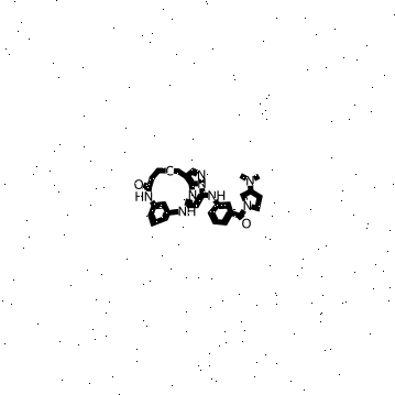 CN(C)C1CCN(C(=O)c2cccc(Nc3cc4nc5c(cnn35)CCCCC(=O)Nc3cccc(c3)N4)c2)C1